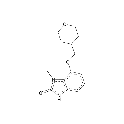 Cn1c(=O)[nH]c2cccc(OCC3CCOCC3)c21